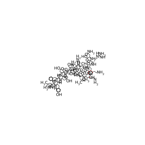 CC[C@H](C)[C@H](NC(=O)[C@@H](NC(=O)C(CC(N)=O)NC(=O)[C@H](CO)NC(=O)C(CO)NC(=O)[C@H](CC(=O)O)NC(=O)C(CC(=O)O)NC(=O)[C@H](Cc1ccccc1)NC(=O)C(Cc1ccc(O)cc1)NC(=O)[C@H](CC(C)C)NN)C(C)C)C(=O)N[C@@H](CC(C)C)C(=O)NC(CCCCN)C(=O)N[C@@H](CCCCN)C(=O)NC(Cc1ccc(O)cc1)C(=O)N[C@@H](CCCNC(=N)N)C(=O)NC(CC(N)=O)C(=O)O